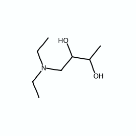 CCN(CC)CC(O)C(C)O